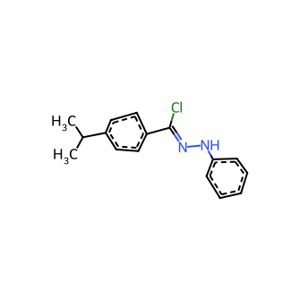 CC(C)c1ccc(C(Cl)=NNc2ccccc2)cc1